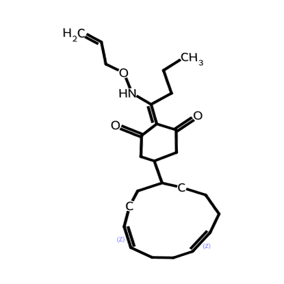 C=CCONC(CCC)=C1C(=O)CC(C2CC/C=C\CC/C=C\CCC2)CC1=O